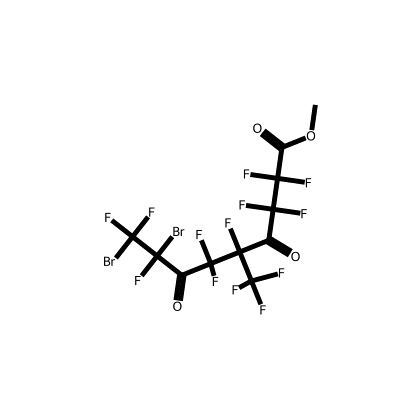 COC(=O)C(F)(F)C(F)(F)C(=O)C(F)(C(F)(F)F)C(F)(F)C(=O)C(F)(Br)C(F)(F)Br